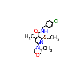 CCSc1nc(N2CCOC[C@H]2C)cc(C)c1C(=O)NCc1ccc(Cl)cc1